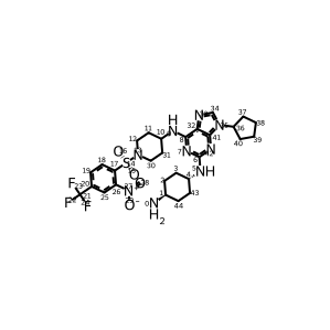 N[C@H]1CC[C@H](Nc2nc(NC3CCN(S(=O)(=O)c4ccc(C(F)(F)F)cc4[N+](=O)[O-])CC3)c3ncn(C4CCCC4)c3n2)CC1